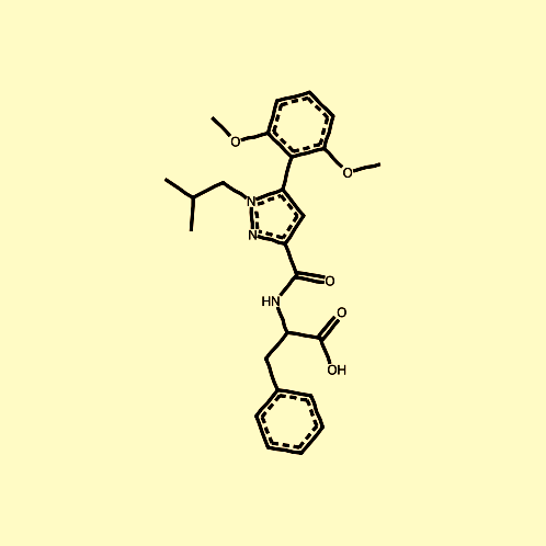 COc1cccc(OC)c1-c1cc(C(=O)NC(Cc2ccccc2)C(=O)O)nn1CC(C)C